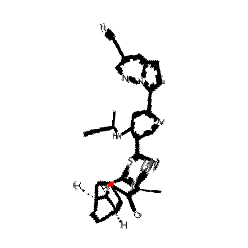 CC(C)Nc1cc(-c2ccc3cc(C#N)cnn23)ncc1-c1nnc(N2C[C@H]3CC[C@@H](C2)C3NC(=O)[C@H](C)O)s1